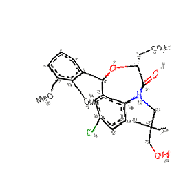 CCOC(=O)C[C@H]1OC(c2cccc(OC)c2OC)c2cc(Cl)ccc2N(CC(C)(C)CO)C1=O